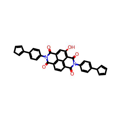 O=C1c2ccc3c4c(c(O)cc(c24)C(=O)N1c1ccc(C2=CCC=C2)cc1)C(=O)N(c1ccc(C2C=CC=C2)cc1)C3=O